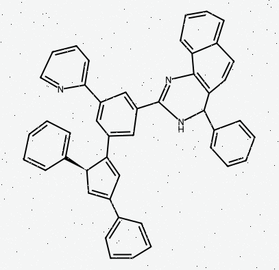 C1=C(c2ccccc2)C=C(c2cc(C3=Nc4c(ccc5ccccc45)C(c4ccccc4)N3)cc(-c3ccccn3)c2)[C@@H]1c1ccccc1